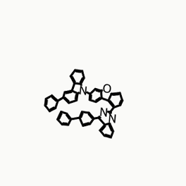 c1ccc(-c2ccc(-c3nc(-c4cccc5oc6cc(-n7c8ccccc8c8cc(-c9ccccc9)ccc87)ccc6c45)nc4ccccc34)cc2)cc1